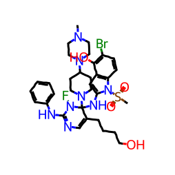 CN1CCN(C2CCN(C3(Nc4cc5c(O)c(Br)ccc5n4S(C)(=O)=O)C(CCCCO)=CN=C(Nc4ccccc4)N3F)CC2)CC1